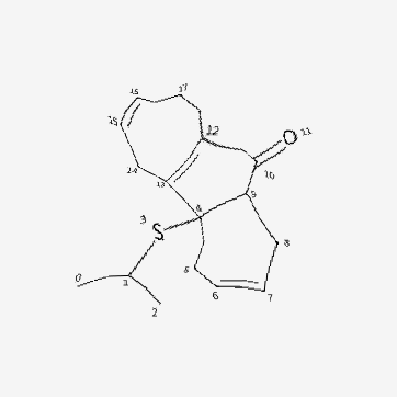 CC(C)SC12CC=CCC1C(=O)C1=C2CC=CC1